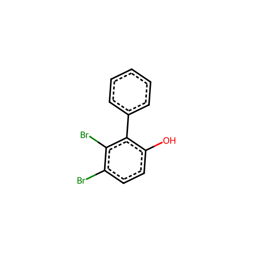 Oc1ccc(Br)c(Br)c1-c1ccccc1